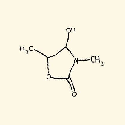 CC1OC(=O)N(C)C1O